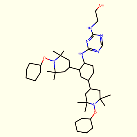 CC1(C)CC(C2CCC(Nc3ncnc(NCCO)n3)C(C3CC(C)(C)N(OC4CCCCC4)C(C)(C)C3)C2)CC(C)(C)N1OC1CCCCC1